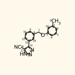 Cc1cccc(OCc2cccc(-c3nn[nH]c3C#N)c2)c1